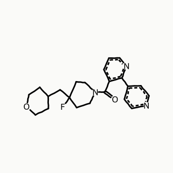 O=C(c1cccnc1-c1ccncc1)N1CCC(F)(CC2CCOCC2)CC1